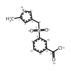 Cc1cc(CS(=O)(=O)c2cccc(C(=O)Cl)c2)cs1